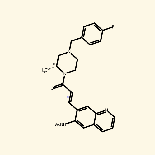 CC(=O)Nc1cc2cccnc2cc1/C=C/C(=O)N1CCN(Cc2ccc(F)cc2)C[C@H]1C